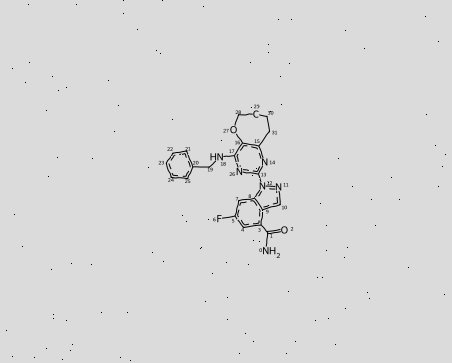 NC(=O)c1cc(F)cc2c1cnn2-c1nc2c(c(NCc3ccccc3)n1)OCCCC2